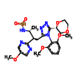 COc1cnc([C@H](Cc2nnc([C@H]3COCCO3)n2-c2c(OC)cccc2OC)[C@@H](C)N[SH](=O)=O)nc1